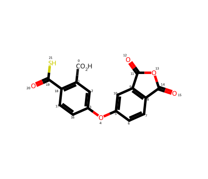 O=C(O)c1cc(Oc2ccc3c(c2)C(=O)OC3=O)ccc1C(=O)S